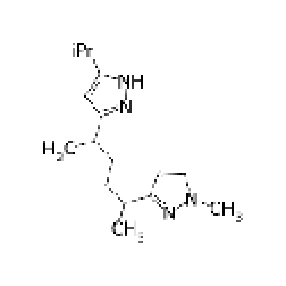 CC(C)c1cc(C(C)CCC(C)c2ccn(C)n2)n[nH]1